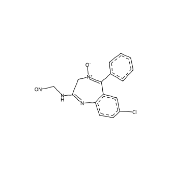 O=NCNC1=Nc2ccc(Cl)cc2C(c2ccccc2)=[N+]([O-])C1